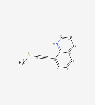 CSC#Cc1cccc2cccnc12